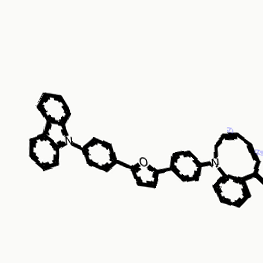 C=C1/C=C\C=C/CN(c2ccc(-c3ccc(-c4ccc(-n5c6ccccc6c6ccccc65)cc4)o3)cc2)c2ccccc21